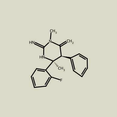 C=C1[C@@H](c2ccccc2)[C@@](C)(c2ccccc2F)NC(=N)N1C